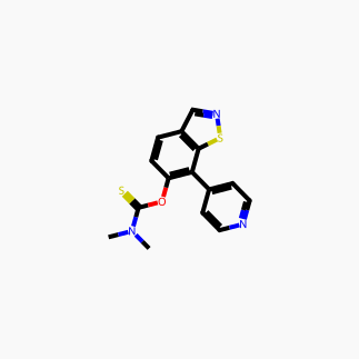 CN(C)C(=S)Oc1ccc2cnsc2c1-c1ccncc1